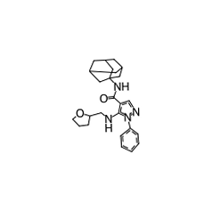 O=C(NC12CC3CC(CC(C3)C1)C2)c1cnn(-c2ccccc2)c1NCC1CCCO1